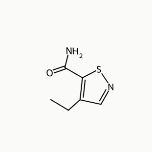 CCc1cnsc1C(N)=O